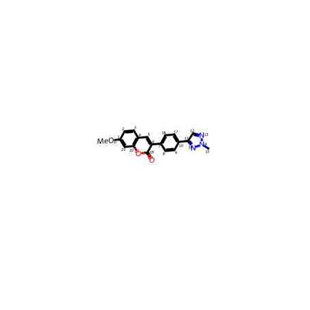 COc1ccc2cc(-c3ccc(-c4cnn(C)n4)cc3)c(=O)oc2c1